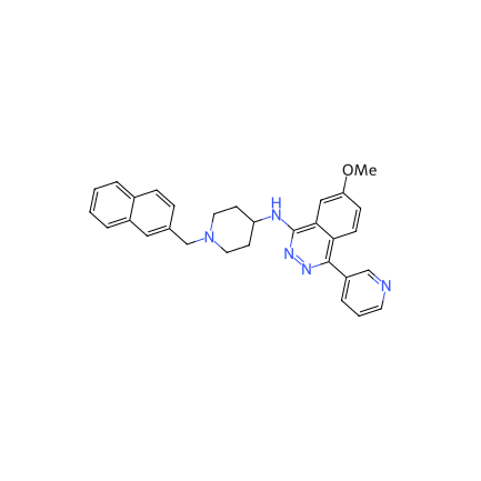 COc1ccc2c(-c3cccnc3)nnc(NC3CCN(Cc4ccc5ccccc5c4)CC3)c2c1